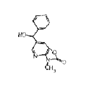 Cn1c(=O)oc2cc(C(O)c3ccccc3)cnc21